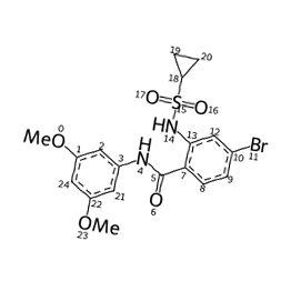 COc1cc(NC(=O)c2ccc(Br)cc2NS(=O)(=O)C2CC2)cc(OC)c1